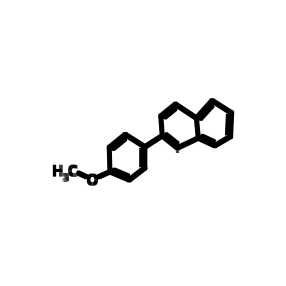 COc1ccc(-c2[c]c3ccccc3cc2)cc1